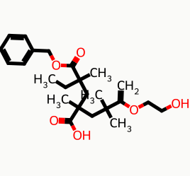 C=C(OCCO)C(C)(C)CC(C)(CC(C)(CC)C(=O)OCc1ccccc1)C(=O)O